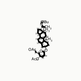 CC(=O)OC[C@H]1OC(O[C@H]2CC[C@@]3(C)C(=CCC4C3CC[C@@]3(C)C4CC[C@@H]3/C(C)=N/OCC(C)C)C2)C=C[C@@H]1OC(C)=O